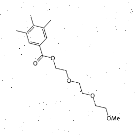 COCCOCCOCCOC(=O)c1cc(C)c(C)c(C)c1